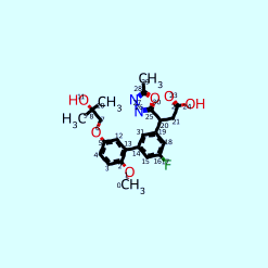 COc1ccc(OCC(C)(C)O)cc1-c1cc(F)cc(C(CC(=O)O)c2nnc(C)o2)c1